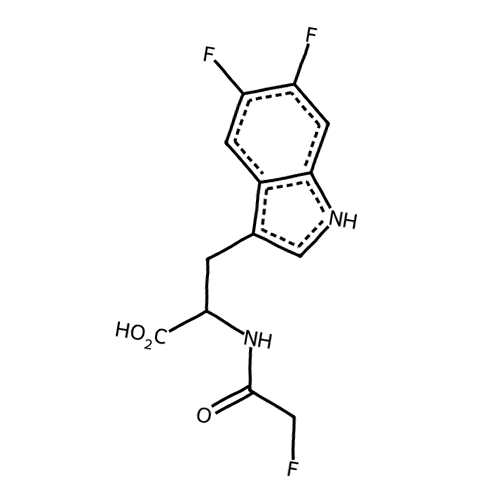 O=C(CF)NC(Cc1c[nH]c2cc(F)c(F)cc12)C(=O)O